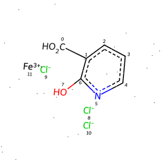 O=C(O)c1cccnc1O.[Cl-].[Cl-].[Cl-].[Fe+3]